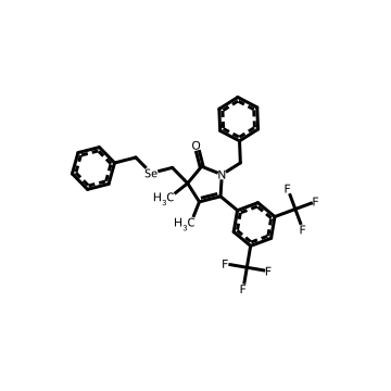 CC1=C(c2cc(C(F)(F)F)cc(C(F)(F)F)c2)N(Cc2ccccc2)C(=O)C1(C)C[Se]Cc1ccccc1